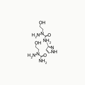 Cc1cc[nH]n1.NC(=O)N(N)CCO.NC(=O)N(N)CCO